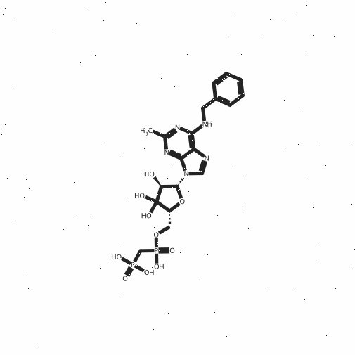 Cc1nc(NCc2ccccc2)c2ncn([C@@H]3O[C@H](COP(=O)(O)CP(=O)(O)O)C(O)(O)[C@H]3O)c2n1